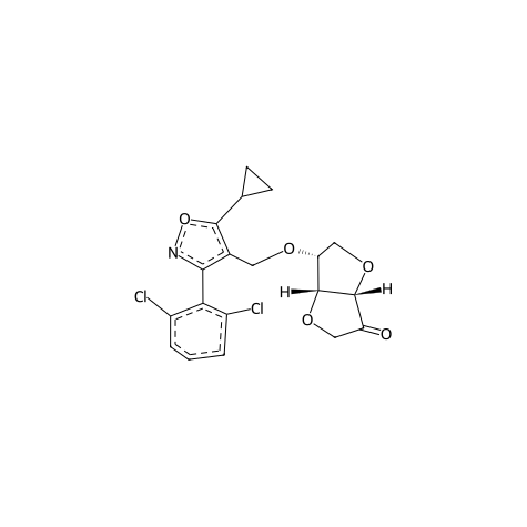 O=C1CO[C@H]2[C@@H]1OC[C@H]2OCc1c(-c2c(Cl)cccc2Cl)noc1C1CC1